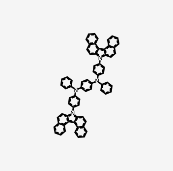 c1ccc(N(c2ccc(N(c3ccccc3)c3ccc(-n4c5ccc6ccccc6c5c5c6ccccc6ccc54)cc3)cc2)c2ccc(-n3c4ccc5ccccc5c4c4c5ccccc5ccc43)cc2)cc1